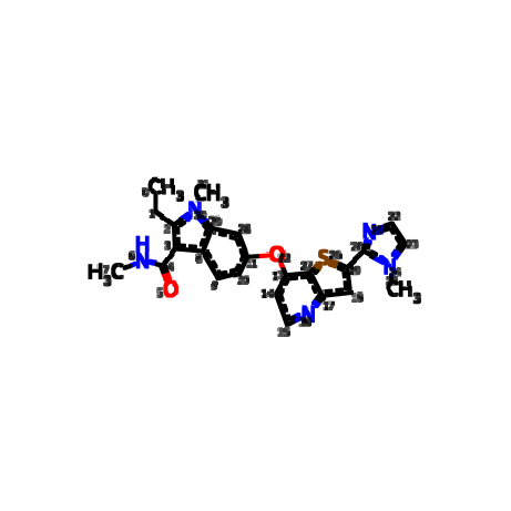 CCc1c(C(=O)NC)c2ccc(Oc3ccnc4cc(-c5nccn5C)sc34)cc2n1C